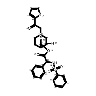 O=C(C[N+]12CCC(CC1)[C@@H](OC(=O)C(NS(=O)(=O)c1ccccc1)c1ccccc1)C2)c1cccs1